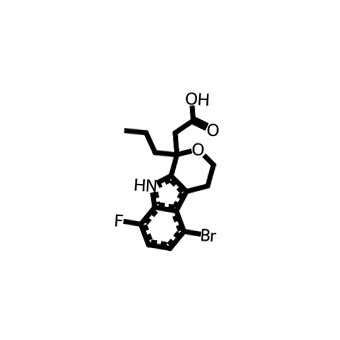 CCCC1(CC(=O)O)OCCc2c1[nH]c1c(F)ccc(Br)c21